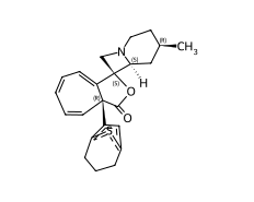 C[C@@H]1CCN2C[C@]3(OC(=O)[C@]4(c5cc6sc5CCC6)C=CC=CC=C43)[C@@H]2C1